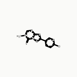 Cn1cnc2nc(-c3ccc(Cl)nc3)nn2c1=S